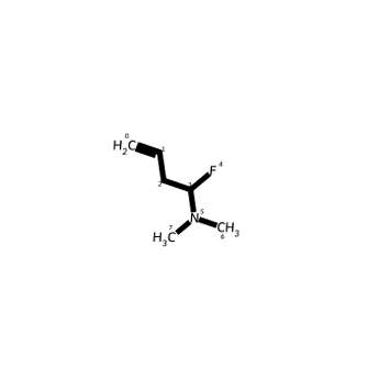 C=CCC(F)N(C)C